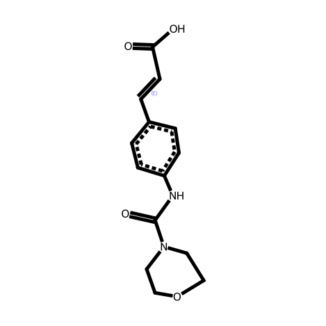 O=C(O)/C=C/c1ccc(NC(=O)N2CCOCC2)cc1